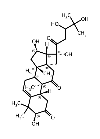 CC(C)(O)C(O)CC(=O)[C@@]1(O)C[C@]23CC(=O)[C@@]4(C)[C@@H]5CC(=O)[C@@H](O)C(C)(C)C5=CC[C@H]4[C@]2(C)C[C@@H](O)[C@@H]31